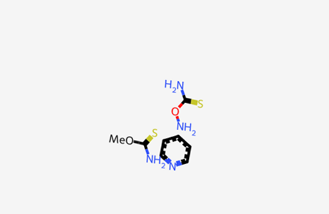 COC(N)=S.NOC(N)=S.c1ccncc1